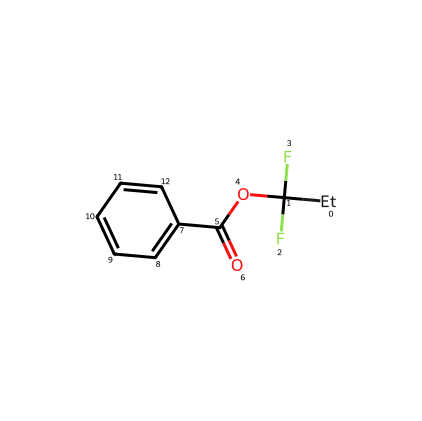 CCC(F)(F)OC(=O)c1ccccc1